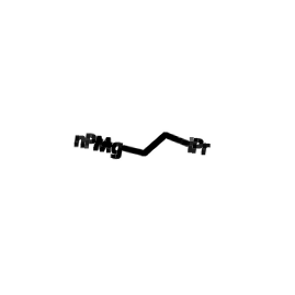 CC[CH2][Mg][CH2]CC(C)C